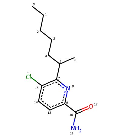 CCCCCC(C)c1nc(C(N)=O)ccc1Cl